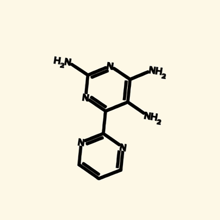 Nc1nc(N)c(N)c(-c2ncccn2)n1